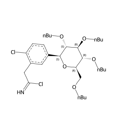 CCCCOC[C@H]1O[C@@H](c2ccc(Cl)c(CC(=N)Cl)c2)[C@H](OCCCC)[C@@H](OCCCC)[C@@H]1OCCCC